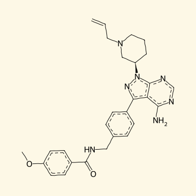 C=CCN1CCC[C@@H](n2nc(-c3ccc(CNC(=O)c4ccc(OC)cc4)cc3)c3c(N)ncnc32)C1